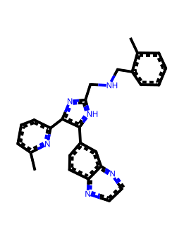 Cc1cccc(-c2nc(CNCc3ccccc3C)[nH]c2-c2ccc3nccnc3c2)n1